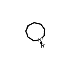 [N-]=[N+]1CCCCCCCC1